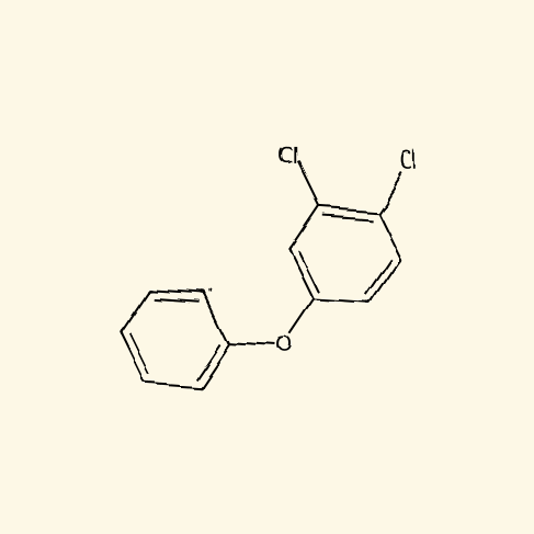 Clc1ccc(Oc2[c]cccc2)cc1Cl